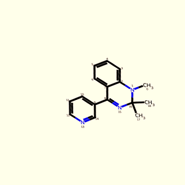 CN1c2ccccc2C(c2cccnc2)=NC1(C)C